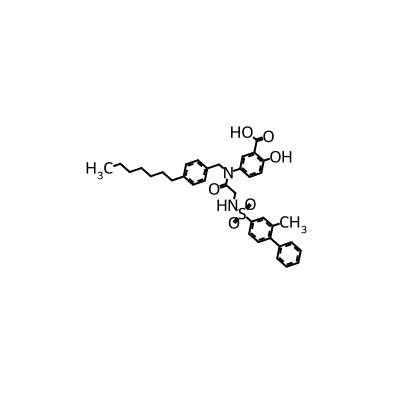 CCCCCCCc1ccc(CN(C(=O)CNS(=O)(=O)c2ccc(-c3ccccc3)c(C)c2)c2ccc(O)c(C(=O)O)c2)cc1